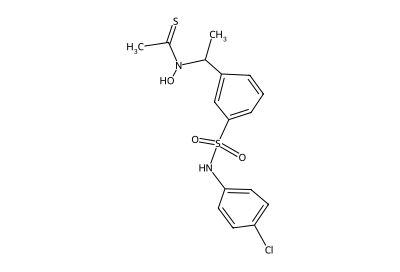 CC(=S)N(O)C(C)c1cccc(S(=O)(=O)Nc2ccc(Cl)cc2)c1